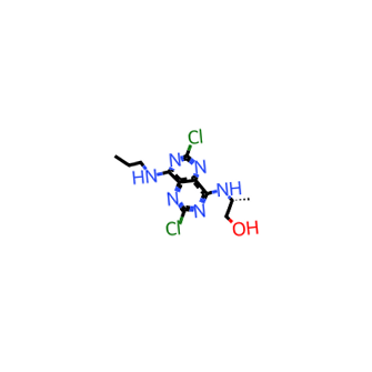 CCCNc1nc(Cl)nc2c(N[C@H](C)CO)nc(Cl)nc12